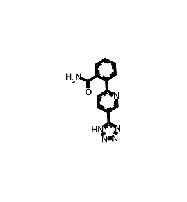 NC(=O)c1ccccc1-c1ccc(-c2nnn[nH]2)cn1